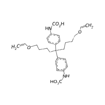 C=COCCCCC(CCCCOC=C)(c1ccc(NC(=O)O)cc1)c1ccc(NC(=O)O)cc1